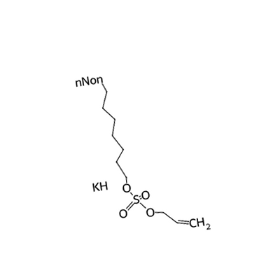 C=CCOS(=O)(=O)OCCCCCCCCCCCCCCCC.[KH]